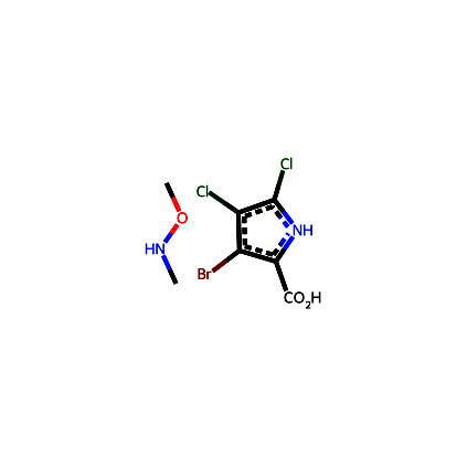 CNOC.O=C(O)c1[nH]c(Cl)c(Cl)c1Br